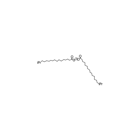 CC(C)CCCCCCCCCCCCCCC(=O)[O][Ti][O]C(=O)CCCCCCCCCCCCCCC(C)C